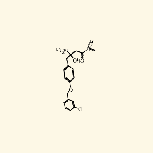 CNC(=O)CC(N)(O)Cc1ccc(OCc2cccc(Cl)c2)cc1